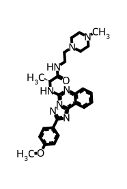 COc1ccc(-c2nc3c4ccccc4nc(N[C@H](C)C(=O)NCCN4CCN(C)CC4)n3n2)cc1